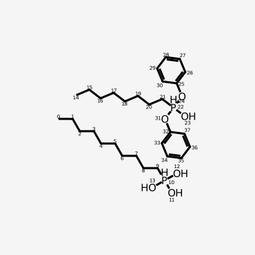 CCCCCCCCCC[PH](O)(O)O.CCCCCCCC[PH](O)(Oc1ccccc1)Oc1ccccc1